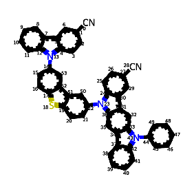 N#Cc1ccc2c(c1)c1ccccc1n2-c1ccc2sc3ccc(-n4c5ccc(C#N)cc5c5cc6c(cc54)c4ccccc4n6-c4ccccc4)cc3c2c1